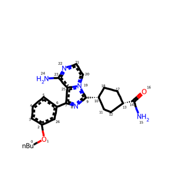 CCCCOc1cccc(-c2nc([C@H]3CC[C@@H](C(N)=O)CC3)n3ccnc(N)c23)c1